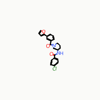 O=C(NC1CCCN(C(=O)c2cccc(-c3ccco3)c2)C1)c1ccc(Cl)cc1